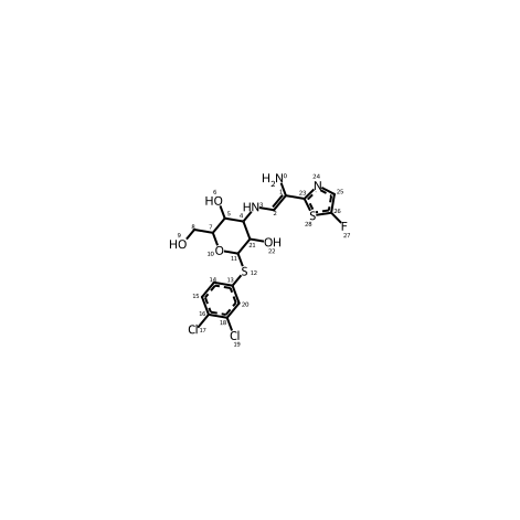 N/C(=C\NC1C(O)C(CO)OC(Sc2ccc(Cl)c(Cl)c2)C1O)c1ncc(F)s1